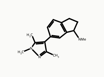 CNC1CCc2ccc(-c3c(C)nn(C)c3C)cc21